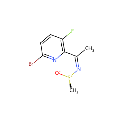 C/C(=N/[S@@+](C)[O-])c1nc(Br)ccc1F